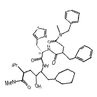 CNC(=O)C(CC(O)C(CC1CCCCC1)NC(=O)[C@H](Cc1cscn1)NC(=O)C(CC(=O)N(C)Cc1ccccc1)Cc1ccccc1)C(C)C